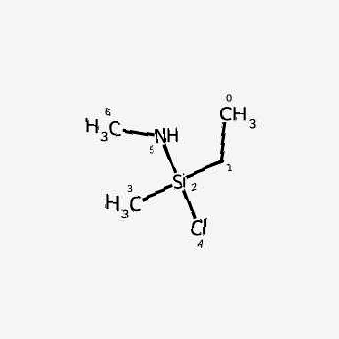 CC[Si](C)(Cl)NC